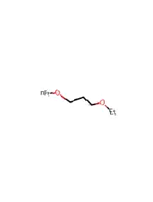 CCCOCC[CH]OCC